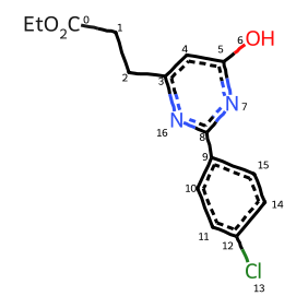 CCOC(=O)CCc1cc(O)nc(-c2ccc(Cl)cc2)n1